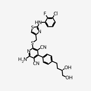 N#Cc1c(N)nc(SCc2csc(Nc3cccc(Cl)c3F)n2)c(C#N)c1-c1ccc(CC[C@@H](O)CO)cc1